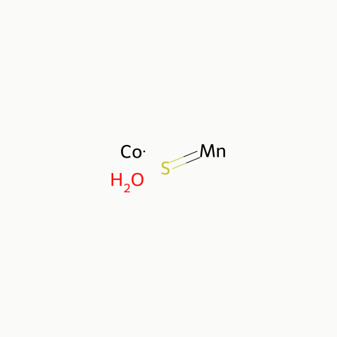 O.[Co].[S]=[Mn]